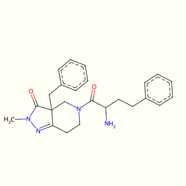 CN1N=C2CCN(C(=O)C(N)CCc3ccccc3)CC2(Cc2ccccc2)C1=O